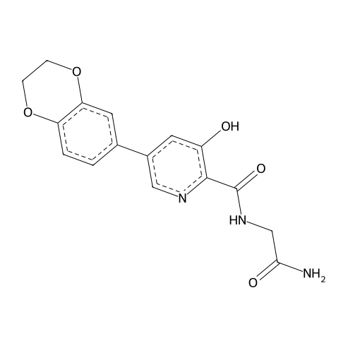 NC(=O)CNC(=O)c1ncc(-c2ccc3c(c2)OCCO3)cc1O